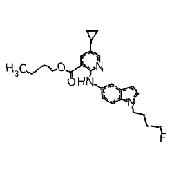 CCCCOC(=O)c1cc(C2CC2)cnc1Nc1ccc2c(ccn2CCCCF)c1